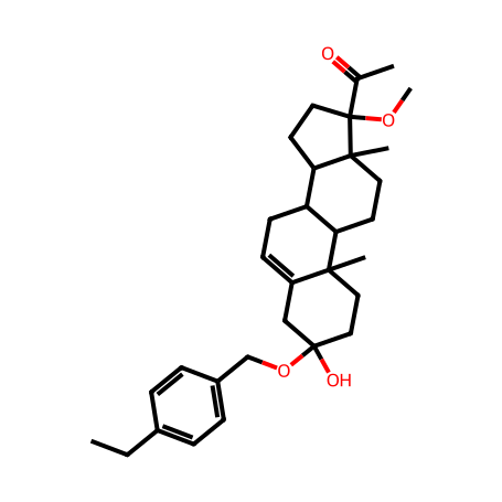 CCc1ccc(COC2(O)CCC3(C)C(=CCC4C3CCC3(C)C4CCC3(OC)C(C)=O)C2)cc1